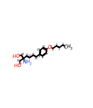 CCCCCOc1ccc(CCCCC(N)(CO)CO)cc1